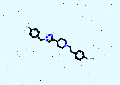 COc1ccc(CCN2CCC(c3cn(Cc4ccc(Cl)cc4)nn3)CC2)cc1